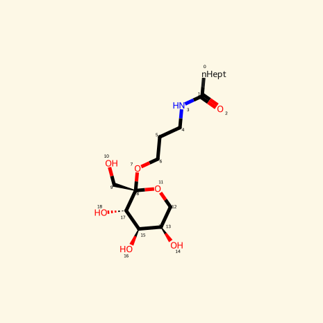 CCCCCCCC(=O)NCCCO[C@]1(CO)OC[C@@H](O)[C@@H](O)[C@@H]1O